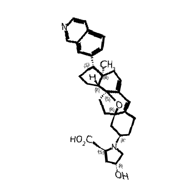 C[C@]12CC=C3C=C4CC[C@@H](N5C[C@H](O)C[C@H]5C(=O)O)C[C@]45CC[C@]3(O5)[C@@H]1CC[C@@H]2c1ccc2ccncc2c1